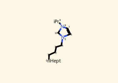 CCCCCCCCCCCN1C=CN(C(C)C)C1